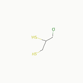 SCC(S)CCl